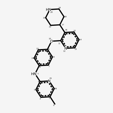 Cc1ccc(Nc2ccc(Oc3ncccc3C3CCNCC3)cc2)nc1